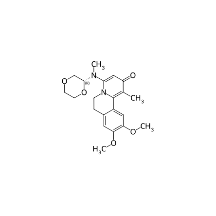 COc1cc2c(cc1OC)-c1c(C)c(=O)cc(N(C)[C@H]3COCCO3)n1CC2